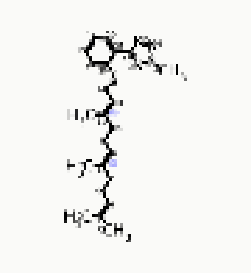 CC(C)=CCC/C(C)=C/CC/C(C)=C/CSc1ccccc1-c1nnn(C)n1